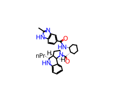 CCC[C@H]1Nc2ccccc2[C@H]2[C@@H]1CCN2C(=O)[C@H]1CCCC[C@H]1NC(=O)c1ccc2[nH]c(C)nc2c1